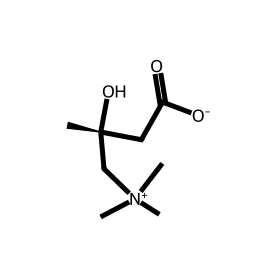 C[C@@](O)(CC(=O)[O-])C[N+](C)(C)C